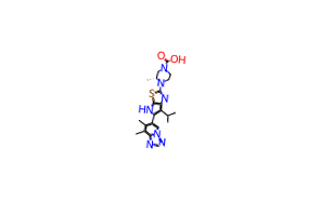 Cc1c(-c2[nH]c3sc(N4CCN(C(=O)O)C[C@H]4C)nc3c2C(C)C)cn2ncnc2c1C